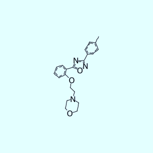 Cc1ccc(-c2noc(-c3ccccc3OCCN3CCOCC3)n2)cc1